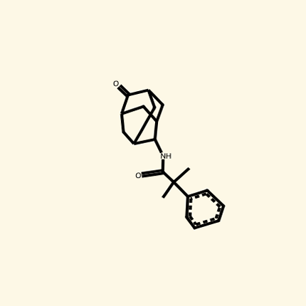 CC(C)(C(=O)NC1C2CC3CC1CC(C2)C3=O)c1ccccc1